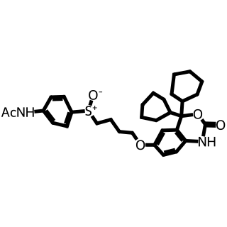 CC(=O)Nc1ccc([S+]([O-])CCCCOc2ccc3c(c2)C(C2CCCCC2)(C2CCCCC2)OC(=O)N3)cc1